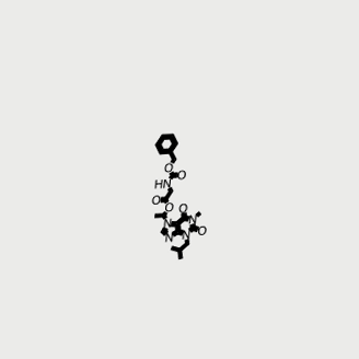 CC(C)Cn1c(=O)n(C)c(=O)c2c1ncn2C(C)OC(=O)CNC(=O)OCc1ccccc1